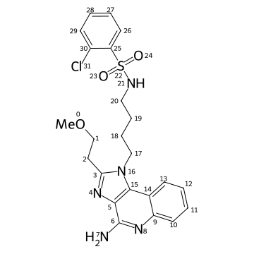 COCCc1nc2c(N)nc3ccccc3c2n1CCCCNS(=O)(=O)c1ccccc1Cl